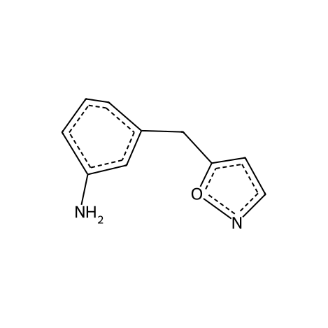 Nc1cccc(Cc2ccno2)c1